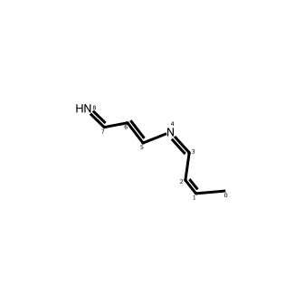 C\C=C/C=N\C=C\C=N